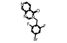 O=c1c2ccncc2ncn1Cc1c(F)cc(Br)cc1F